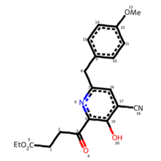 CCOC(=O)CCC(=O)c1nc(Cc2ccc(OC)cc2)cc(C#N)c1O